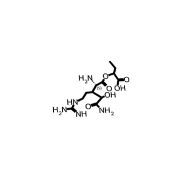 CCC(OC(=O)[C@@H](N)C(CCNC(=N)N)C(O)C(N)=O)C(=O)O